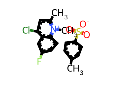 Cc1cc(Cl)c2cc(F)ccc2[n+]1C.Cc1ccc(S(=O)(=O)[O-])cc1